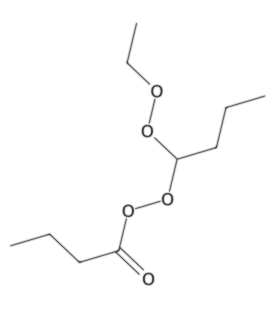 CCCC(=O)OOC(CCC)OOCC